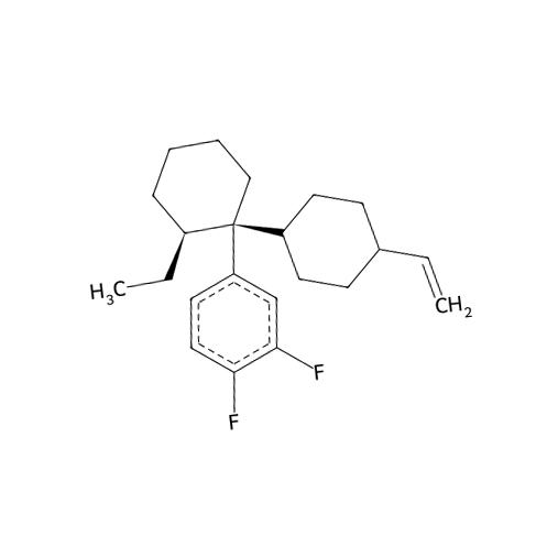 C=CC1CCC([C@]2(c3ccc(F)c(F)c3)CCCC[C@@H]2CC)CC1